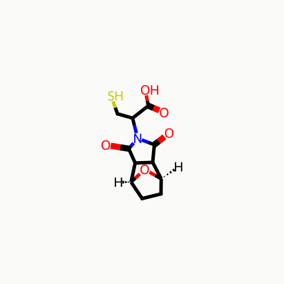 O=C(O)C(CS)N1C(=O)C2C(C1=O)[C@H]1CC[C@@H]2O1